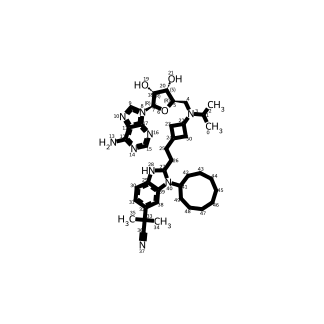 CC(C)N(C[C@H]1O[C@@H](n2cnc3c(N)ncnc32)[C@H](O)[C@@H]1O)C1CC(CCC2Nc3ccc(C(C)(C)C#N)cc3N2C2CCCCCCCC2)C1